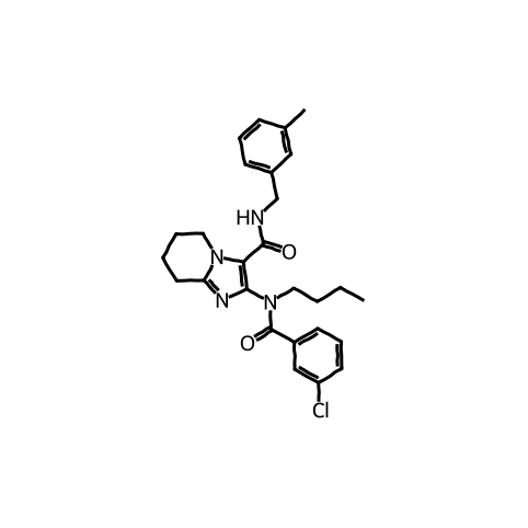 CCCCN(C(=O)c1cccc(Cl)c1)c1nc2n(c1C(=O)NCc1cccc(C)c1)CCCC2